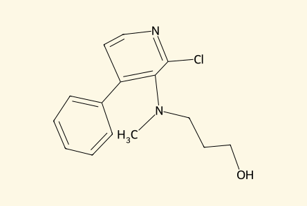 CN(CCCO)c1c(-c2ccccc2)ccnc1Cl